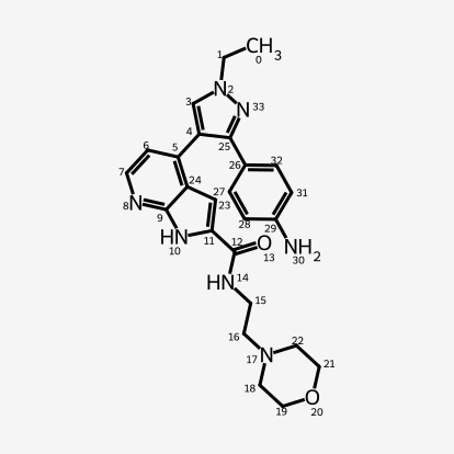 CCn1cc(-c2ccnc3[nH]c(C(=O)NCCN4CCOCC4)cc23)c(-c2ccc(N)cc2)n1